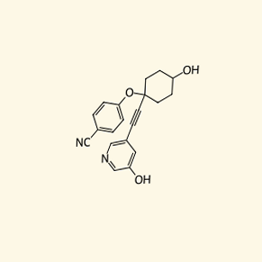 N#Cc1ccc(OC2(C#Cc3cncc(O)c3)CCC(O)CC2)cc1